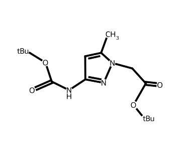 Cc1cc(NC(=O)OC(C)(C)C)nn1CC(=O)OC(C)(C)C